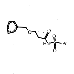 CC(C)S(=O)(=O)NC(=O)CCOCc1ccccc1